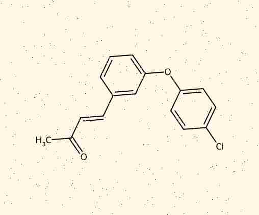 CC(=O)C=Cc1cccc(Oc2ccc(Cl)cc2)c1